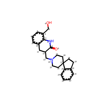 O=C1Nc2c(CO)cccc2CC1CN1CCC2(CCc3ccccc32)CC1